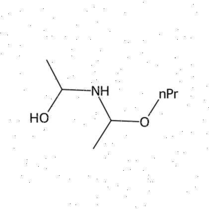 CCCOC(C)NC(C)O